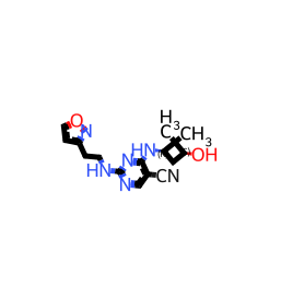 CC1(C)[C@@H](O)C[C@H]1Nc1nc(NCCc2ccon2)ncc1C#N